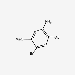 COc1cc(N)c(C(C)=O)cc1Br